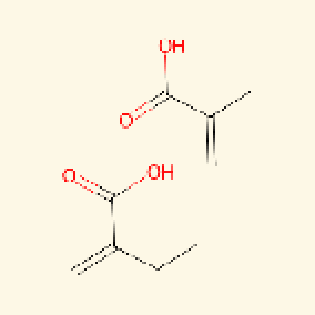 C=C(C)C(=O)O.C=C(CC)C(=O)O